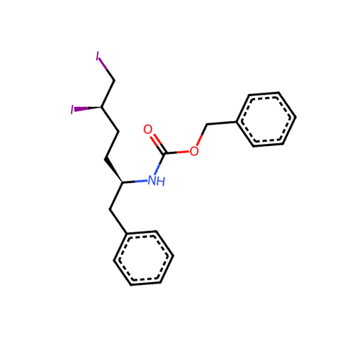 O=C(N[C@H](CC[C@@H](I)CI)Cc1ccccc1)OCc1ccccc1